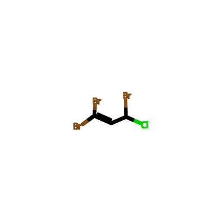 ClC(Br)C=C(Br)Br